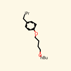 CCCCOCCCCOc1ccc(CC(C)C)cc1